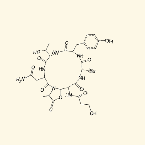 CCC(C)C1NC(=O)C(NC(=O)CCO)C2OC(=O)C(C)N2C(=O)C(CC(N)=O)NC(=O)C(C(C)O)NC(=O)C(Cc2ccc(O)cc2)NC1=O